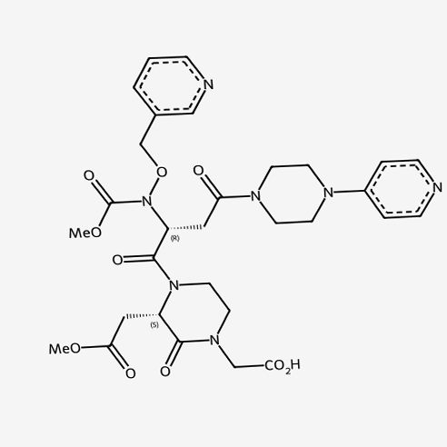 COC(=O)C[C@H]1C(=O)N(CC(=O)O)CCN1C(=O)[C@@H](CC(=O)N1CCN(c2ccncc2)CC1)N(OCc1cccnc1)C(=O)OC